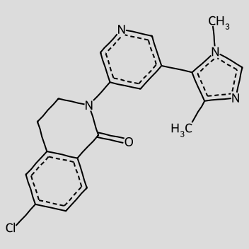 Cc1ncn(C)c1-c1cncc(N2CCc3cc(Cl)ccc3C2=O)c1